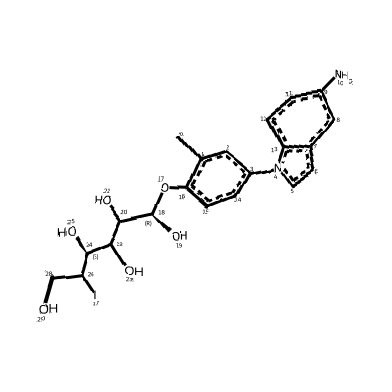 Cc1cc(-n2ccc3cc(N)ccc32)ccc1O[C@@H](O)C(O)C(O)[C@H](O)C(I)CO